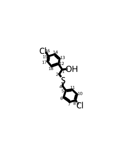 OC(CSCc1ccc(Cl)cc1)c1ccc(Cl)cc1